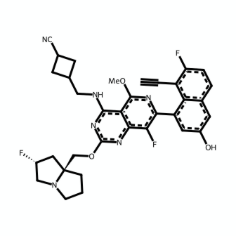 C#Cc1c(F)ccc2cc(O)cc(-c3nc(OC)c4c(NCC5CC(C#N)C5)nc(OC[C@@]56CCCN5C[C@H](F)C6)nc4c3F)c12